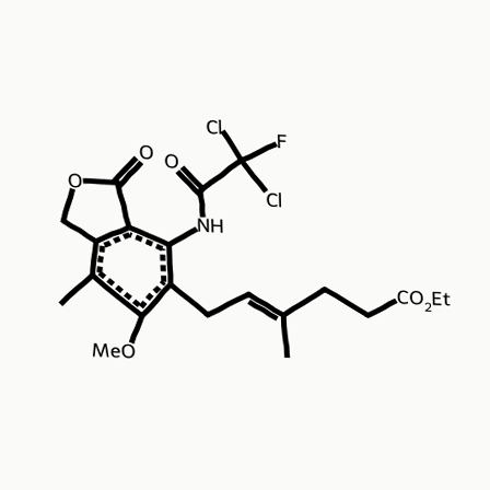 CCOC(=O)CC/C(C)=C/Cc1c(NC(=O)C(F)(Cl)Cl)c2c(c(C)c1OC)COC2=O